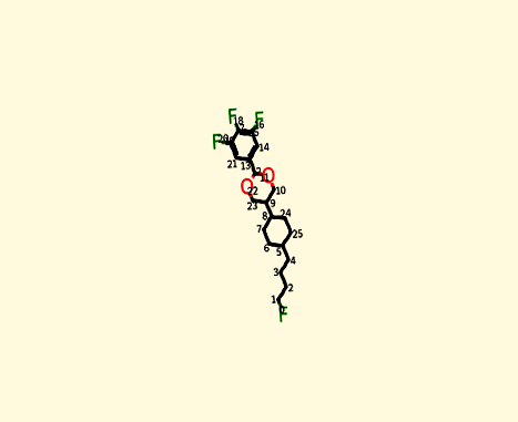 FCCCCC1CCC(C2COC(c3cc(F)c(F)c(F)c3)OC2)CC1